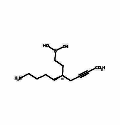 NCCCC[C@H](CC#CC(=O)O)CCB(O)O